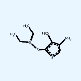 CCN(CC)Sc1scc(N)c1O